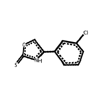 S=c1[nH]c(-c2cccc(Cl)c2)co1